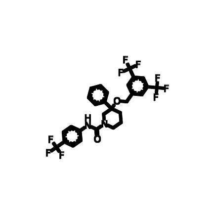 O=C(Nc1ccc(C(F)(F)F)cc1)N1CCCC(OCc2cc(C(F)(F)F)cc(C(F)(F)F)c2)(c2ccccc2)C1